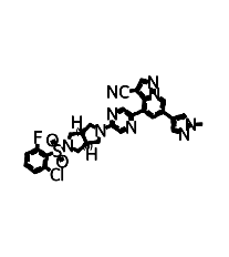 Cn1cc(-c2cc(-c3cnc(N4C[C@@H]5CN(S(=O)(=O)c6c(F)cccc6Cl)C[C@@H]5C4)cn3)c3c(C#N)cnn3c2)cn1